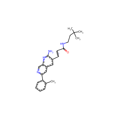 Cc1ccccc1-c1cc2cc(/C=C/C(=O)NCCC(C)(C)C)c(N)nc2cn1